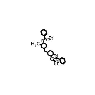 CCOC(=NC1CCC(CC2CCC(N=C(OCC)c3ccccc3)C(C)C2)CC1C)c1ccccc1